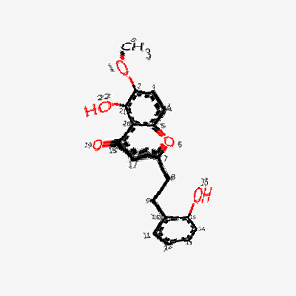 COc1ccc2oc(CCc3ccccc3O)cc(=O)c2c1O